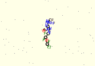 Fc1cc(Cl)ccc1COc1cc(C2CCN(Cc3nc4cc(-c5nnc(C(F)(F)F)[nH]5)ncc4n3CC3CCO3)CC2F)ccc1F